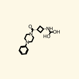 O=C([C@H]1C[C@@H](NC(O)O)C1)N1CCN(c2ccccc2)CC1